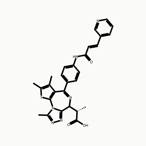 Cc1sc2c(c1C)C(c1ccc(NC(=O)C=Cc3cccnc3)cc1)=NC([C@H](C)C(=O)O)c1nnc(C)n1-2